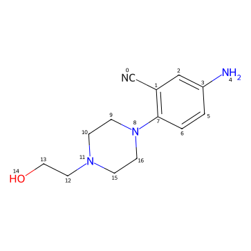 N#Cc1cc(N)ccc1N1CCN(CCO)CC1